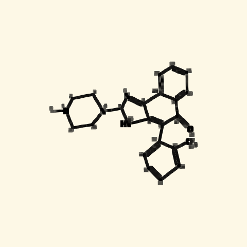 CN1CCN(C2N=C3C(=C(c4ccccc4C(F)(F)F)C(=O)c4ccccc43)N2)CC1